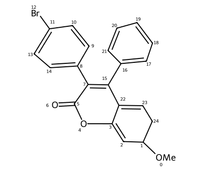 COC1C=c2oc(=O)c(-c3ccc(Br)cc3)c(-c3ccccc3)c2=CC1